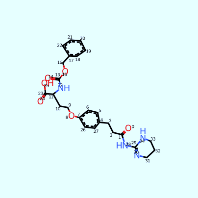 O=C(CCc1ccc(OCCC(NC(=O)OCc2ccccc2)C(=O)O)cc1)NC1=NCCCN1